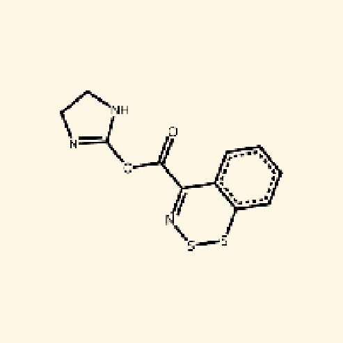 O=C(OC1=NCCN1)C1=NSSc2ccccc21